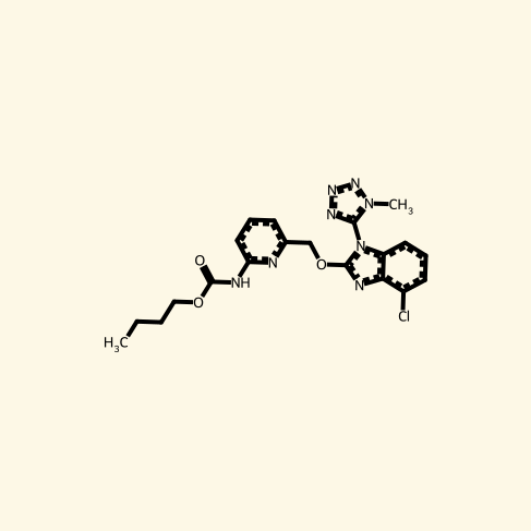 CCCCOC(=O)Nc1cccc(COc2nc3c(Cl)cccc3n2-c2nnnn2C)n1